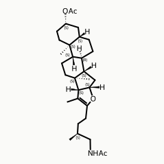 CC(=O)NC[C@@H](C)CCC1=C(C)[C@H]2[C@H](C[C@H]3[C@@H]4CC[C@H]5C[C@@H](OC(C)=O)CC[C@]5(C)[C@H]4CC[C@@]32C)O1